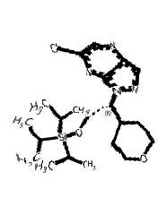 CC(C)[Si](OC[C@@H](C1CCOCC1)n1ncc2ncc(Cl)nc21)(C(C)C)C(C)C